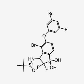 CC(C)(C)[S+]([O-])NC1c2c(ccc(Oc3cc(F)cc(Br)c3)c2Br)S(O)(O)C1(F)F